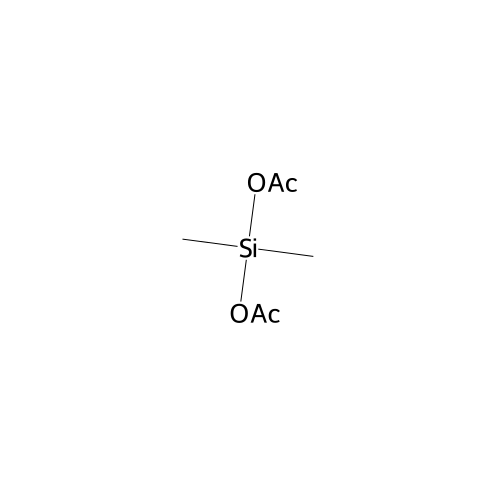 CC(=O)O[Si](C)(C)OC(C)=O